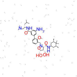 COc1c(CN2O[C@@H](CO)[C@@H]([C@H](C)O)[C@H]2C(=O)N[C@H]2C[C@@H](C)C(C)(C)[C@@H](C)[C@@H]2C)cccc1-c1cc(N)cc(C(=O)N[C@@H](CC(C)C)CN(C)C)c1